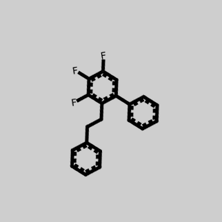 Fc1cc(-c2ccccc2)c(CCc2ccccc2)c(F)c1F